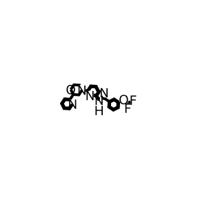 FC(F)Oc1cccc(-c2nc3ccc(N4CCOC(c5ccccn5)C4)nc3[nH]2)c1